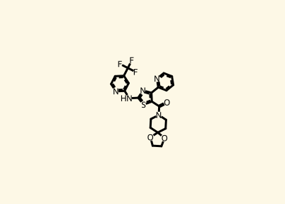 O=C(c1sc(Nc2cc(C(F)(F)F)ccn2)nc1-c1ccccn1)N1CCC2(CC1)OCCO2